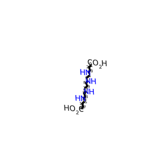 O=C(O)CCCNCCNCCCNCCNCCCC(=O)O